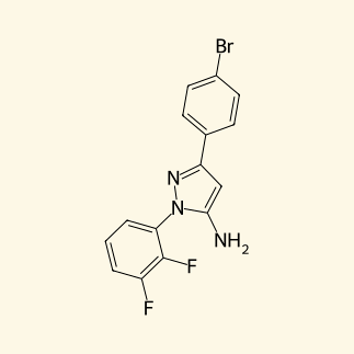 Nc1cc(-c2ccc(Br)cc2)nn1-c1cccc(F)c1F